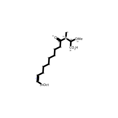 CCCCCCCC/C=C\CCCCCCCC(=O)N(C)C(OC)C(=O)O